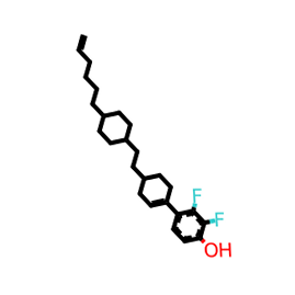 C=CCCCCC1CCC(CCC2CC=C(c3ccc(O)c(F)c3F)CC2)CC1